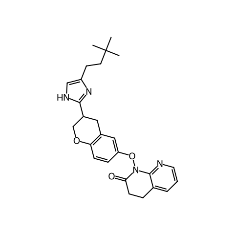 CC(C)(C)CCc1c[nH]c(C2COc3ccc(ON4C(=O)CCc5cccnc54)cc3C2)n1